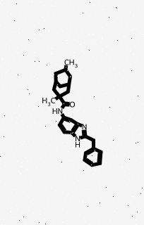 CC1CC2CC(C1)CC(C)(C(=O)Nc1ccc3[nH]c(Cc4ccccc4)nc3c1)C2